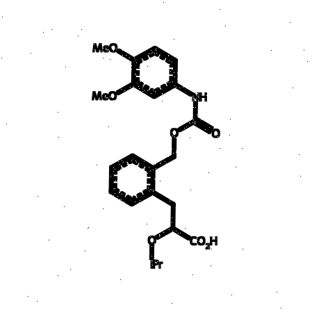 COc1ccc(NC(=O)OCc2ccccc2CC(OC(C)C)C(=O)O)cc1OC